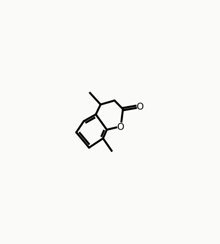 Cc1cccc2c1OC(=O)CC2C